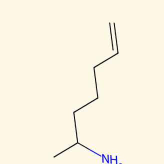 C=CCCCC(C)N